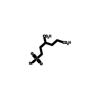 CCS(=O)(=O)CCC(CCC(=O)O)C(=O)O